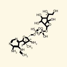 C=CNc1c(N)ncnc1C1O[C@H](COP(=O)(S)OP(=O)(O)OC2OC3(O)C2C(O)C(O)C3[C@@H](O)CO)[C@@H](N)[C@@]1(C)F